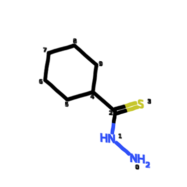 NNC(=S)C1CCCCC1